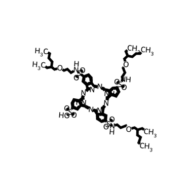 CCCCC(CC)COCCCNS(=O)(=O)c1ccc2c(c1)-c1nc-2nc2[nH]c(nc3nc(nc4[nH]c(n1)c1ccc(S(=O)(=O)O)cc41)-c1ccc(S(=O)(=O)NCCCOCC(CC)CCCC)cc1-3)c1ccc(S(=O)(=O)NCCCOCC(CC)CCCC)cc21